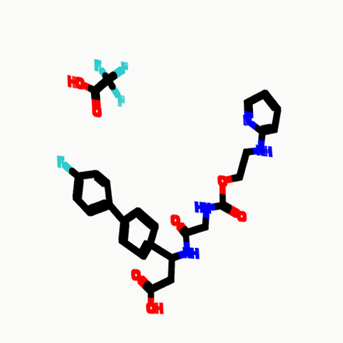 O=C(O)C(F)(F)F.O=C(O)CC(NC(=O)CNC(=O)OCCNc1ccccn1)c1ccc(-c2ccc(F)cc2)cc1